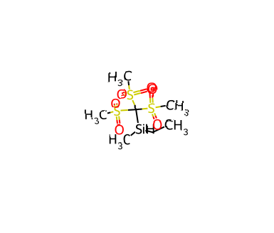 CC[SiH](C)C(S(C)(=O)=O)(S(C)(=O)=O)S(C)(=O)=O